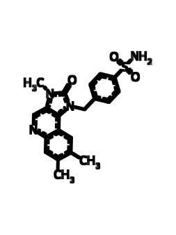 Cc1cc2ncc3c(c2cc1C)n(Cc1ccc(S(N)(=O)=O)cc1)c(=O)n3C